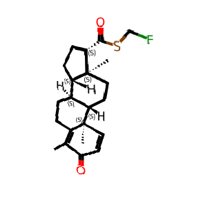 CC1=C2CC[C@H]3[C@@H]4CC[C@H](C(=O)SCF)[C@@]4(C)CC[C@@H]3[C@@]2(C)C=CC1=O